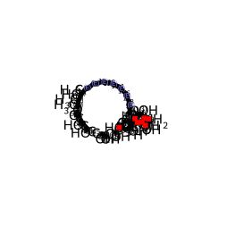 C[C@@H]1[C@H](O)[C@@H](C)/C=C/C=C/C=C/C=C/C=C/C=C/C=C/[C@H](O[C@@H]2O[C@H](C)[C@@H](O)[C@H](N)[C@@H]2O)C[C@@H]2O[C@](O)(C[C@@H](O)C[C@@H](O)[C@H](O)CC[C@@H](O)C[C@@H](O)CC(=O)O[C@H]1C)C[C@H](O)[C@H]2C(=O)N[C@@H]1CCC[C@H]1O